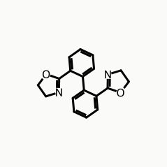 c1ccc(-c2ccccc2C2=NCCO2)c(C2=NCCO2)c1